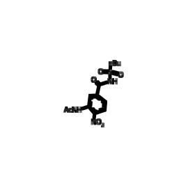 CCCCS(=O)(=O)NC(=O)c1ccc([N+](=O)[O-])c(NC(C)=O)c1